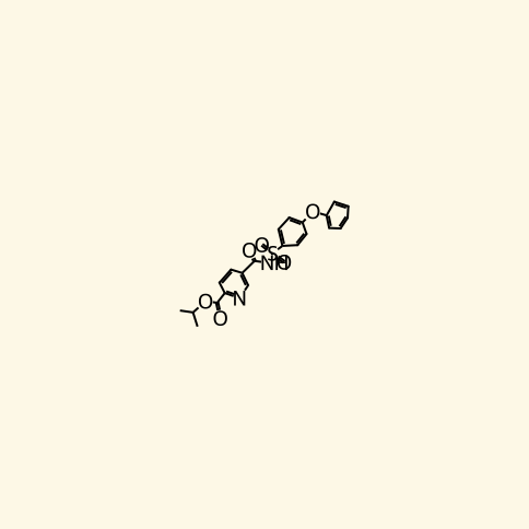 CC(C)OC(=O)c1ccc(C(=O)NS(=O)(=O)c2ccc(Oc3ccccc3)cc2)cn1